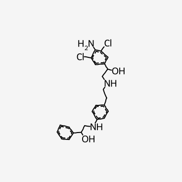 Nc1c(Cl)cc(C(O)CNCCc2ccc(NCC(O)c3ccccc3)cc2)cc1Cl